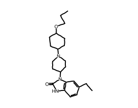 CCCOC1CCC(N2CCC(n3c(=O)[nH]c4ccc(CC)cc43)CC2)CC1